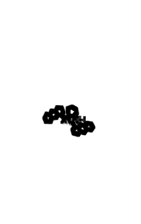 C[C@H](N=c1cccccc1N[C@@H](C)c1cccc2cc3ccccc3cc12)c1cccc2cc3ccccc3cc12